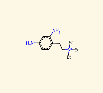 CC[N+](CC)(CC)CCc1ccc(N)cc1N